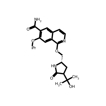 CC(C)Oc1cc2c(OC[C@@H]3CC(C(C)(C)O)C(=O)N3)nccc2cc1C(N)=O